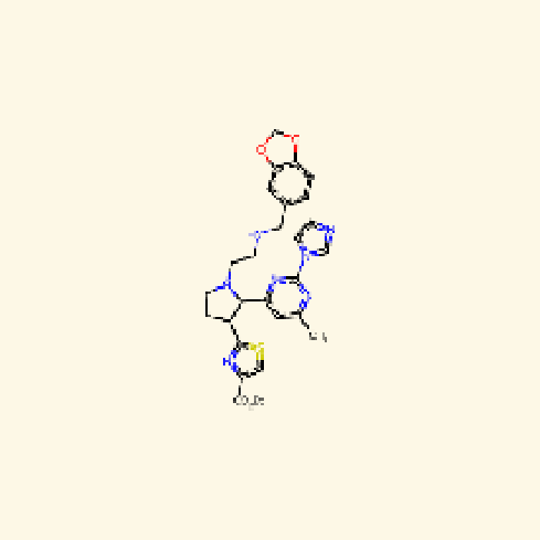 CCOC(=O)c1csc(C2CCN(CCNCc3ccc4c(c3)OCO4)C2c2cc(C)nc(-n3ccnc3)n2)n1